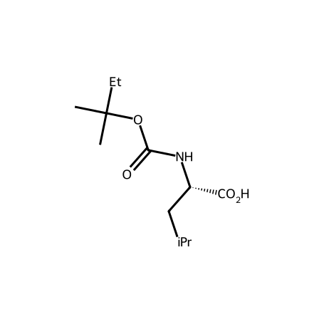 CCC(C)(C)OC(=O)N[C@@H](CC(C)C)C(=O)O